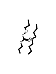 CCCOOC(=O)OCCC.CCC[CH2][Sn][CH2]CCC